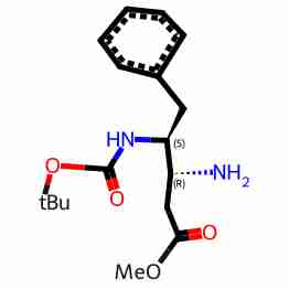 COC(=O)C[C@@H](N)[C@H](Cc1ccccc1)NC(=O)OC(C)(C)C